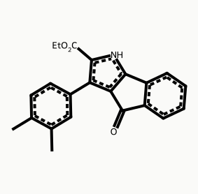 CCOC(=O)c1[nH]c2c(c1-c1ccc(C)c(C)c1)C(=O)c1ccccc1-2